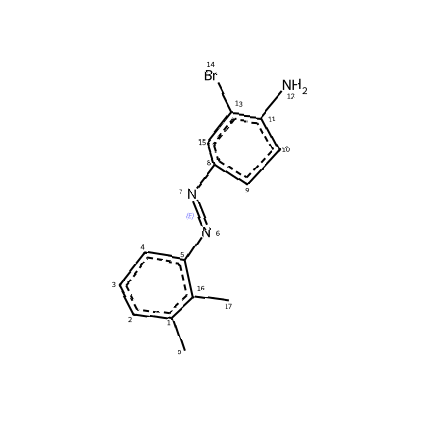 Cc1cccc(/N=N/c2ccc(N)c(Br)c2)c1C